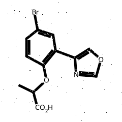 CC(Oc1ccc(Br)cc1-c1cocn1)C(=O)O